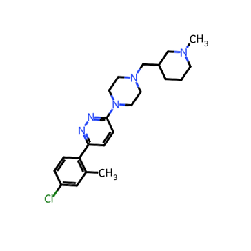 Cc1cc(Cl)ccc1-c1ccc(N2CCN(CC3CCCN(C)C3)CC2)nn1